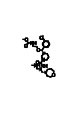 CNC[C@H](C[C@@H]1CCCOCC1)NC(=O)N1CCC[C@@H](C(OCCNC(=O)OC)c2cccc(Cl)c2)C1